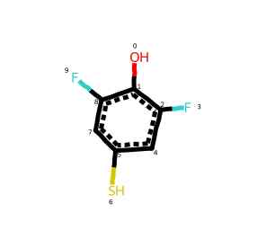 Oc1c(F)cc(S)cc1F